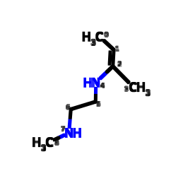 CC=C(C)NCCNC